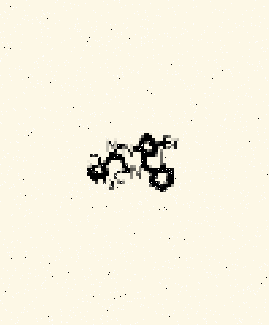 C[C@@H]1N=C(c2ccccc2I)c2cc(Br)ccc2-n2cnc(-c3ccco3)c21